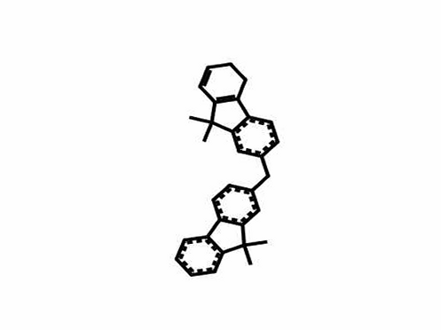 CC1(C)C2=C(CCC=C2)c2ccc(Cc3ccc4c(c3)C(C)(C)c3ccccc3-4)cc21